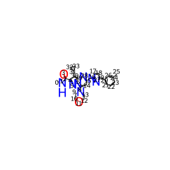 CNC(=O)c1nn2c(N3CCOCC3)cc(-n3ccc(-c4cccc(C)c4)n3)nc2c1C1CC1